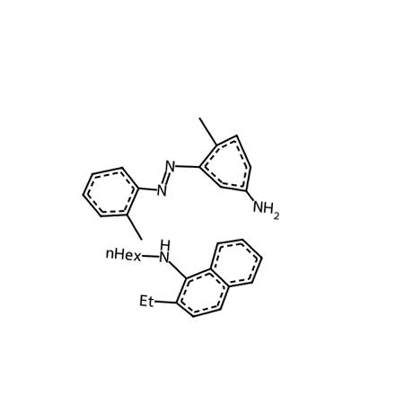 CCCCCCNc1c(CC)ccc2ccccc12.Cc1ccccc1N=Nc1cc(N)ccc1C